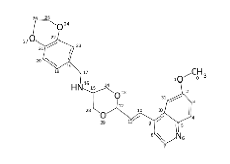 COc1ccc2nccc(C=CC3OCC(NCc4ccc5c(c4)OCCO5)CO3)c2c1